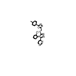 Cc1ccc(-c2nnc(CSc3nnc(-c4ccncn4)n3-c3ccccc3Cl)o2)cc1